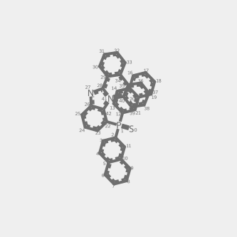 S=P(c1ccc2ccccc2c1)(c1ccc2ccccc2c1)c1cccc2nc3c4ccccc4c4ccccc4n3c12